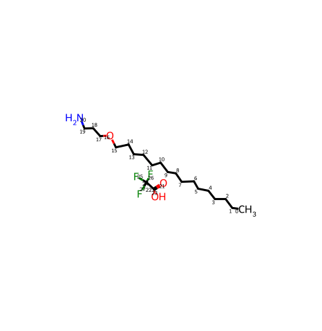 CCCCCCCCCCCCCCCCOCCCN.O=C(O)C(F)(F)F